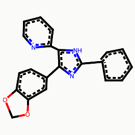 c1ccc(-c2nc(-c3ccc4c(c3)OCO4)c(-c3ccccn3)[nH]2)cc1